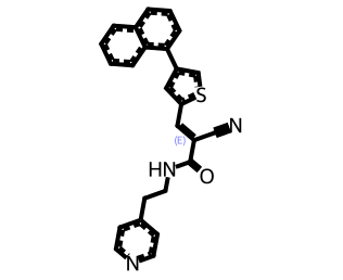 N#C/C(=C\c1cc(-c2cccc3ccccc23)cs1)C(=O)NCCc1ccncc1